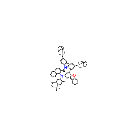 Cc1cc2c(cc1N1c3cc4c(oc5ccccc54)c4c3B(c3ccc5ccccc5c31)n1c3ccc(C56CC7CC(CC(C7)C5)C6)cc3c3cc(C56CC7CC(CC(C7)C5)C6)cc-4c31)C(C)(C)CCC2(C)C